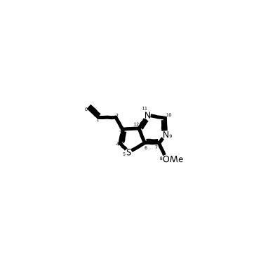 C=CCc1csc2c(OC)ncnc12